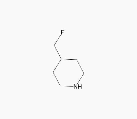 FCC1CCNCC1